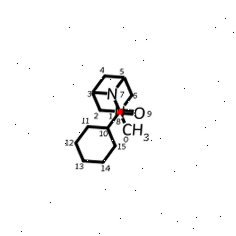 CN1CC2CC(C1)N2C(=O)C1CCCCC1